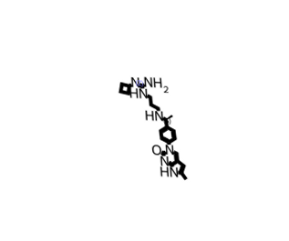 Cc1cc2cn(-c3ccc([C@H](C)NCCCN/C(N)=N\C4CCC4)cc3)c(=O)nc2[nH]1